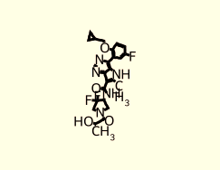 Cc1[nH]c2c(-c3cc(F)ccc3OCC3CC3)ncnc2c1C(=O)NC1CN(C(=O)[C@H](C)O)CC1(F)F